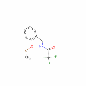 CSOc1ccccc1CNC(=O)C(F)(F)F